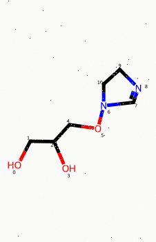 OCC(O)CON1C=NCC1